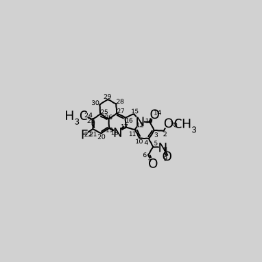 COCc1c(C(C=O)N=O)cc2n(c1=O)Cc1c-2nc2cc(F)c(C)c3c2c1CCC3